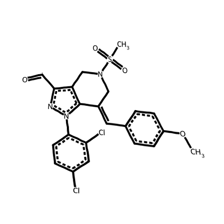 COc1ccc(/C=C2\CN(S(C)(=O)=O)Cc3c([C]=O)nn(-c4ccc(Cl)cc4Cl)c32)cc1